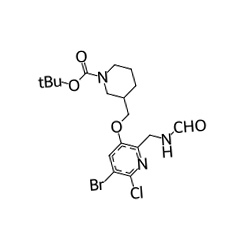 CC(C)(C)OC(=O)N1CCCC(COc2cc(Br)c(Cl)nc2CNC=O)C1